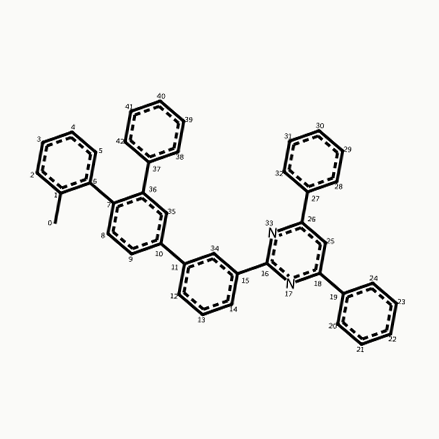 Cc1ccccc1-c1ccc(-c2cccc(-c3nc(-c4ccccc4)cc(-c4ccccc4)n3)c2)cc1-c1ccccc1